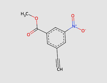 C#Cc1cc(C(=O)OC)cc([N+](=O)[O-])c1